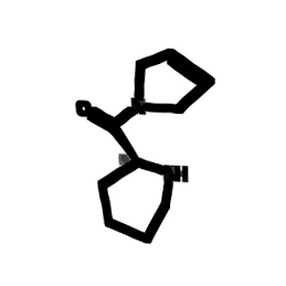 O=C([C@@H]1CCCCN1)N1CC=CC1